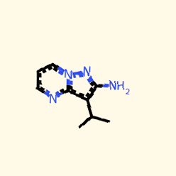 CC(C)c1c(N)nn2cccnc12